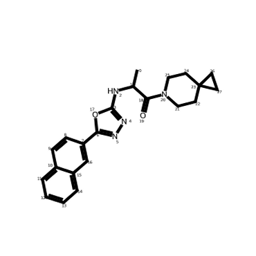 CC(Nc1nnc(-c2ccc3ccccc3c2)o1)C(=O)N1CCC2(CC1)CC2